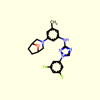 Cc1cc(Nc2ncn(-c3cc(F)cc(F)c3)n2)cc(N2CC3CCC(C2)O3)c1